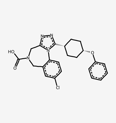 O=C(O)N1Cc2cc(Cl)ccc2-n2c(nnc2[C@H]2CC[C@@H](Oc3ccccc3)CC2)C1